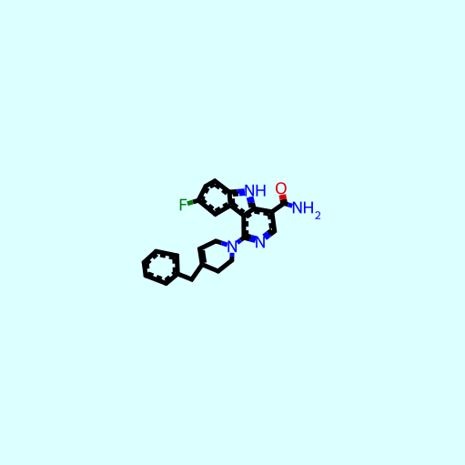 NC(=O)c1cnc(N2CC=C(Cc3ccccc3)CC2)c2c1[nH]c1ccc(F)cc12